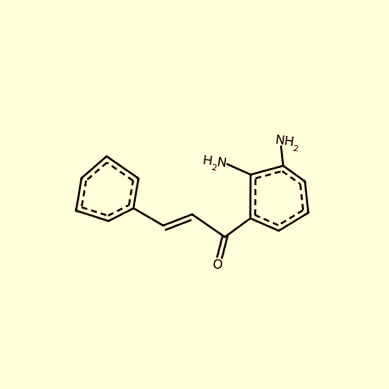 Nc1cccc(C(=O)C=Cc2ccccc2)c1N